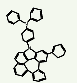 C1=CCCC(c2cc3c4c5c6c(cccc6ccc5n(C5=CC=C(N(c6ccccc6)c6ccccc6)CC5)c4c2)-c2ccccc2-3)=C1